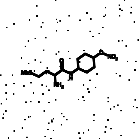 CSCCC(N)C(=O)NC1CCC(O[N+](=O)[O-])CC1